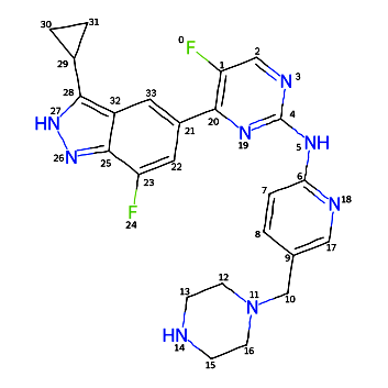 Fc1cnc(Nc2ccc(CN3CCNCC3)cn2)nc1-c1cc(F)c2n[nH]c(C3CC3)c2c1